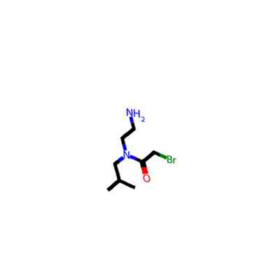 CC(C)CN(CCN)C(=O)CBr